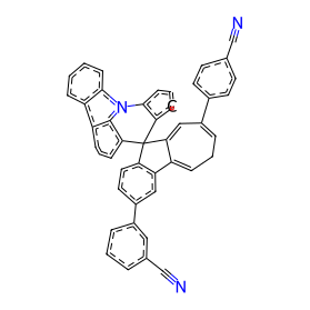 N#Cc1ccc(C2=CCC=C3C(=C2)C2(c4ccc(-c5cccc(C#N)c5)cc43)c3ccccc3-n3c4ccccc4c4cccc2c43)cc1